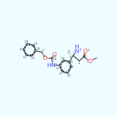 COC(=O)C[C@](C)(N)c1cccc(NC(=O)OCc2ccccc2)c1